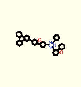 C1=Cc2c(oc3cccc(-c4nc(-c5ccccc5)nc(-c5ccc6c(c5)oc5cc(-c7ccc8c9c(c%10ccccc%10c8c7)CCC=C9)ccc56)n4)c23)CC1